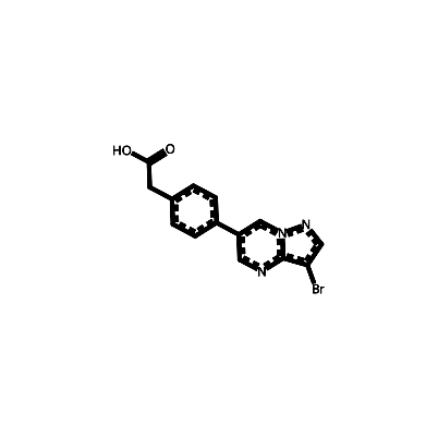 O=C(O)Cc1ccc(-c2cnc3c(Br)cnn3c2)cc1